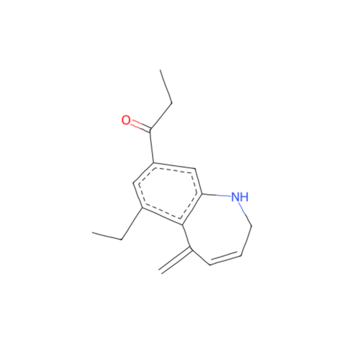 C=C1C=CCNc2cc(C(=O)CC)cc(CC)c21